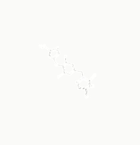 Cn1cc(Oc2c(F)cc(Cn3ncc(=O)[nH]c3=O)cc2F)cn1